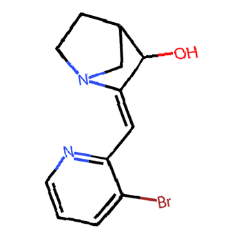 OC1C(=Cc2ncccc2Br)N2CCC1C2